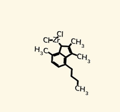 CCCCc1ccc(C)c2c1C(C)=C(C)[CH]2[Zr]([Cl])[Cl]